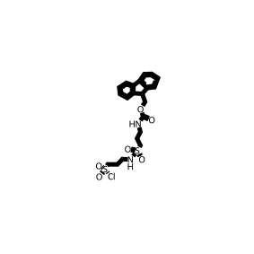 O=C(NCCCS(=O)(=O)NCCCS(=O)(=O)Cl)OCC1c2ccccc2-c2ccccc21